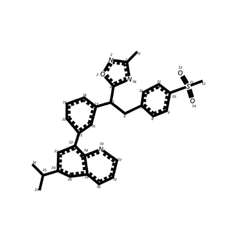 Cc1noc(C(Cc2ccc(S(C)(=O)=O)cc2)c2cccc(-c3cc(C(C)C)cc4cccnc34)c2)n1